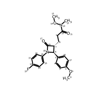 COc1ccc([C@@H]2[C@@H](CCC(=O)N(C)OC)C(=O)N2c2ccc(F)cc2)cc1